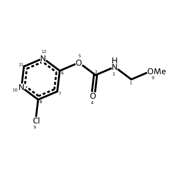 COCNC(=O)Oc1cc(Cl)ncn1